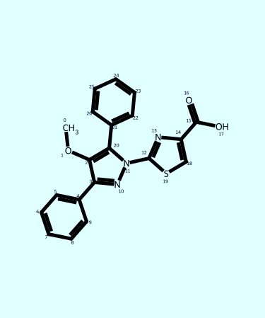 COc1c(-c2ccccc2)nn(-c2nc(C(=O)O)cs2)c1-c1ccccc1